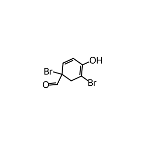 O=CC1(Br)C=CC(O)=C(Br)C1